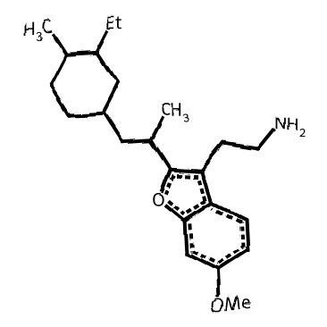 CCC1CC(CC(C)c2oc3cc(OC)ccc3c2CCN)CCC1C